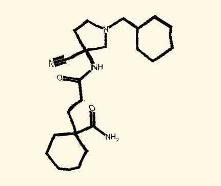 N#CC1(NC(=O)[CH]CC2(C(N)=O)CCCCC2)CCN(CC2CCCCC2)C1